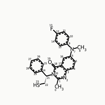 Cc1nc2ccc(N(C)c3ccc(F)cc3)cc2c(=O)n1[C@H](CS)c1ccccc1